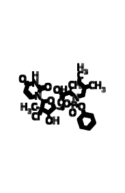 CCC(C)CN([C@@H](C)C(=O)O)[P@](=O)(OC[C@H]1O[C@@H](n2ccc(=O)[nH]c2=O)[C@](C)(Cl)[C@@H]1O)Oc1ccccc1